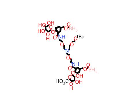 BC(=O)OCc1ccc(O[C@@H]2O[C@H](C(=O)O)[C@@H](O)[C@H](O)[C@H]2O)c(C(=O)NCCOCCN(CCOCCNC(=O)c2cc(COC(B)=O)ccc2O[C@@H]2O[C@H](O)[C@@H](O)[C@H](O)[C@H]2O)CCOCCOC(C)(C)C)c1